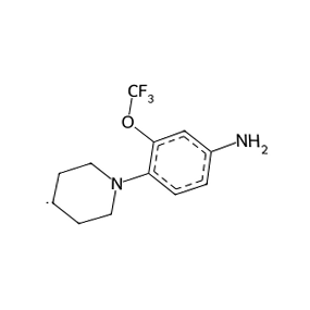 Nc1ccc(N2CC[CH]CC2)c(OC(F)(F)F)c1